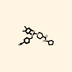 Cc1cc2nc(N3CCC(C(=O)NC4CCCC4)CC3)n(Cc3ccc(C#N)cc3)c2cc1C